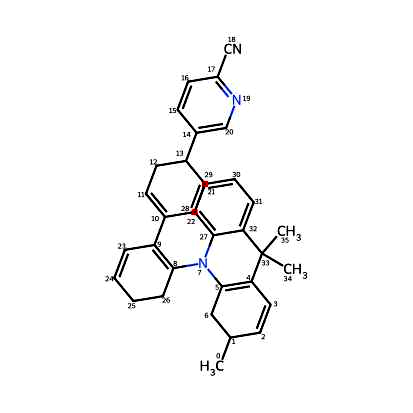 CC1C=CC2=C(C1)N(C1=C(C3=CCC(c4ccc(C#N)nc4)C=C3)C=CCC1)c1ccccc1C2(C)C